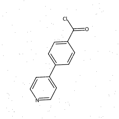 O=C(Cl)c1ccc(-c2ccncc2)cc1